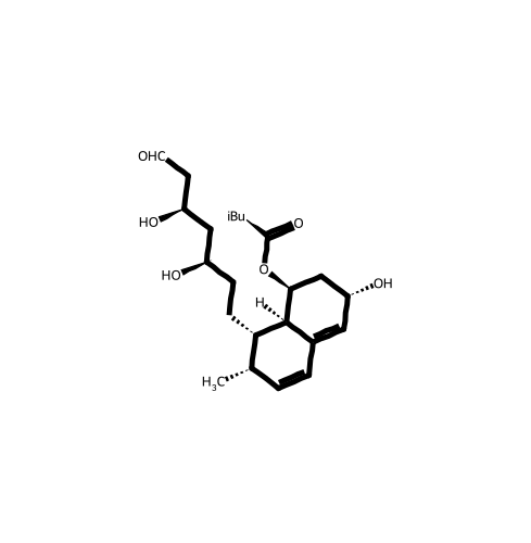 CC[C@H](C)C(=O)O[C@H]1C[C@H](O)C=C2C=C[C@H](C)[C@H](CC[C@@H](O)C[C@@H](O)CC=O)[C@H]21